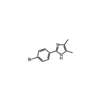 Cc1nc(-c2ccc(Br)cc2)[nH]c1C